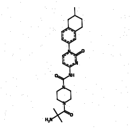 CC1CCc2cc(-n3ccc(NC(=O)N4CCN(C(=O)C(C)(C)N)CC4)nc3=O)ccc2C1